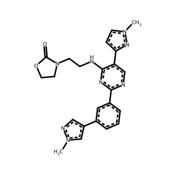 Cn1cc(-c2cccc(-c3ncc(-c4ccn(C)n4)c(NCCN4CCOC4=O)n3)c2)cn1